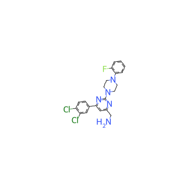 NCc1cc(-c2ccc(Cl)c(Cl)c2)nc(N2CCN(c3ccccc3F)CC2)n1